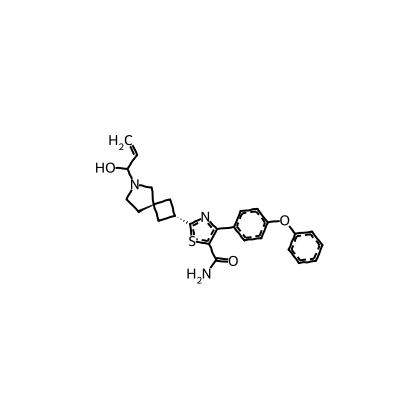 C=CC(O)N1CC[C@]2(C1)C[C@@H](c1nc(-c3ccc(Oc4ccccc4)cc3)c(C(N)=O)s1)C2